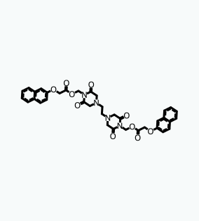 O=C(COc1ccc2ccccc2c1)OCN1C(=O)CN(CCN2CC(=O)N(COC(=O)COc3ccc4ccccc4c3)C(=O)C2)CC1=O